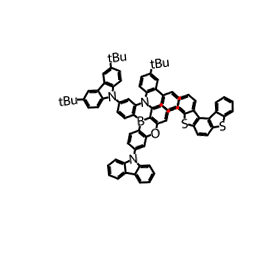 CC(C)(C)c1ccc(N2c3cc(-n4c5ccc(C(C)(C)C)cc5c5cc(C(C)(C)C)ccc54)ccc3B3c4ccc(-n5c6ccccc6c6ccccc65)cc4Oc4cc(-c5cccc6c5sc5ccc7sc8ccccc8c7c56)cc2c43)c(-c2ccccc2)c1